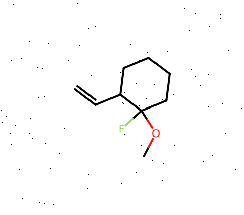 C=CC1CCCCC1(F)OC